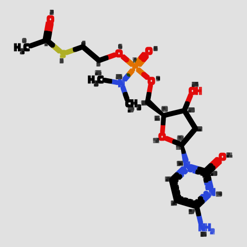 CC(=O)SCCOP(=O)(OC[C@@H]1O[C@H](n2ccc(N)nc2=O)CC1O)N(C)C